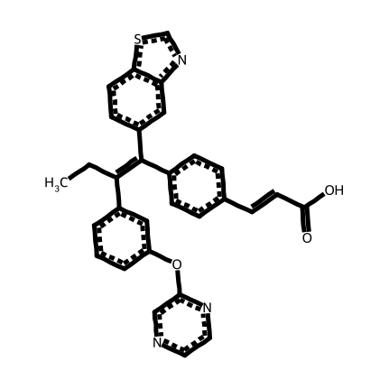 CC/C(=C(/c1ccc(/C=C/C(=O)O)cc1)c1ccc2scnc2c1)c1cccc(Oc2cnccn2)c1